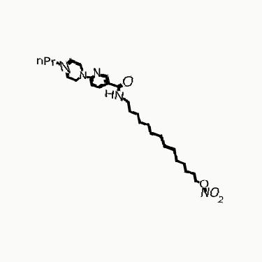 CCCN1CCN(c2ccc(C(=O)NCCCCCCCCCCCCCCO[N+](=O)[O-])cn2)CC1